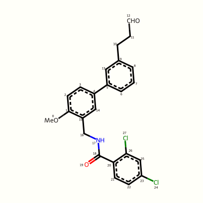 COc1ccc(-c2cccc(CCC=O)c2)cc1CNC(=O)c1ccc(Cl)cc1Cl